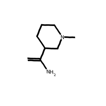 C=C(N)C1CCCN(C)C1